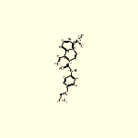 CCOc1ccc(NC(=O)c2ccc3c([N+](=O)[O-])cccc3c2C=O)cc1